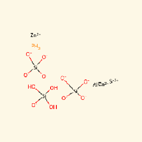 P.[Al+3].[Ca+2].[O-][Si](O)(O)O.[O-][Si]([O-])([O-])[O-].[O-][Si]([O-])([O-])[O-].[Sr+2].[Zn+2]